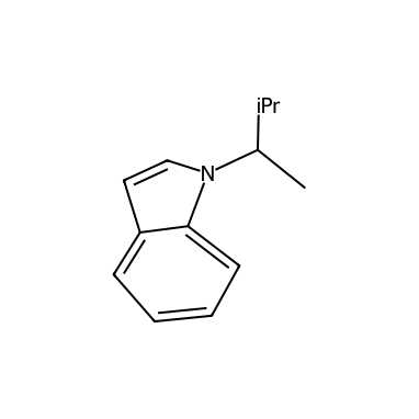 CC(C)C(C)n1ccc2ccccc21